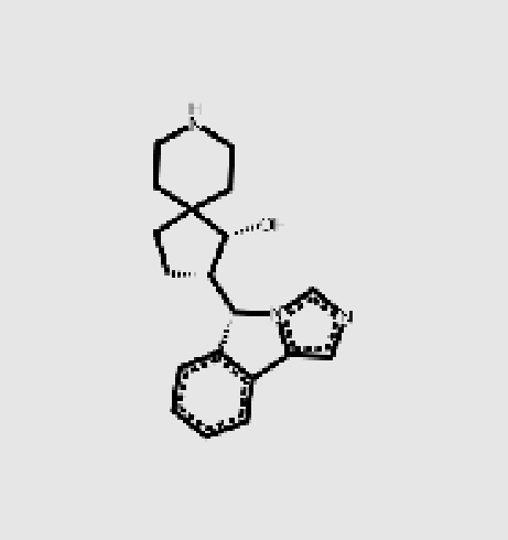 O[C@@H]1[C@H]([C@H]2c3ccccc3-c3cncn32)CCC12CCNCC2